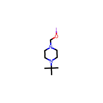 CC(C)(C)N1CCN(COI)CC1